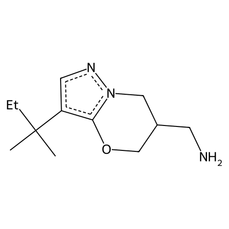 CCC(C)(C)c1cnn2c1OCC(CN)C2